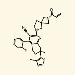 C=CC(=O)N1CC2(CCN(c3nc4c(c(-c5ccccc5F)c3C#N)CC[C@@](C)(c3scnc3C)C4)C2)C1